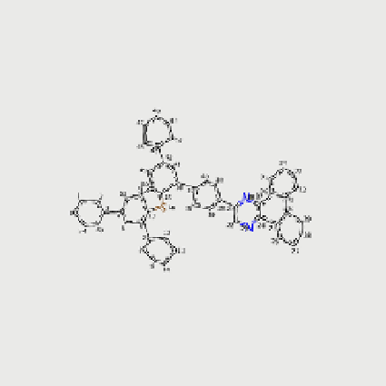 c1ccc(-c2cc(-c3ccccc3)c3sc4c(-c5ccc(-c6cnc7c8ccccc8c8ccccc8c7n6)cc5)cc(-c5ccccc5)cc4c3c2)cc1